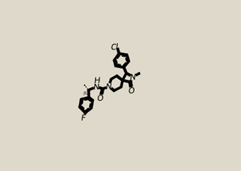 C[C@H](NC(=O)N1CCC2(CC1)C(=O)N(C)C2c1ccc(Cl)cc1)c1ccc(F)cc1